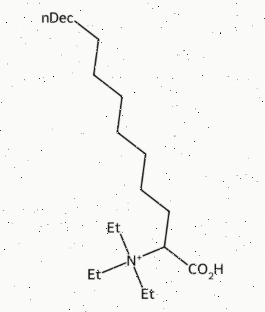 CCCCCCCCCCCCCCCCCC(C(=O)O)[N+](CC)(CC)CC